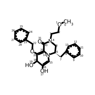 COCCN1C[C@H](Cc2ccccc2)N2C=C(O)C(O)C(OCc3ccccc3)=C2C1=O